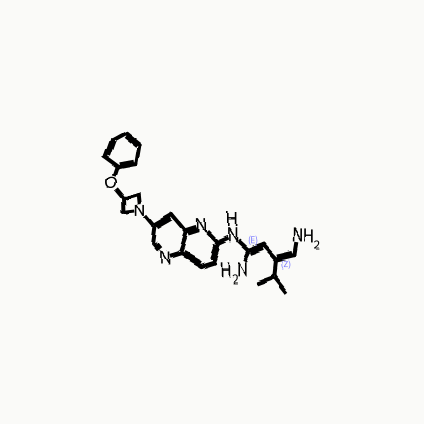 CC(C)C(=C/N)/C=C(\N)Nc1ccc2ncc(N3CC(Oc4ccccc4)C3)cc2n1